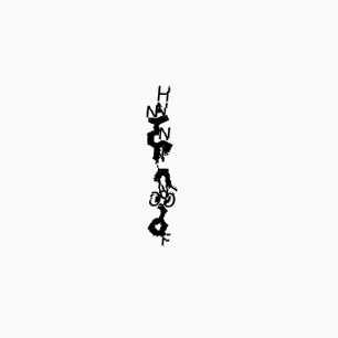 C[C@@H]1C[C@@H](Cn2ccc3nc(-c4cn[nH]c4)ccc32)CN1S(=O)(=O)CCc1cccc(F)c1